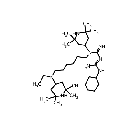 CCN(CCCCCCN(C(=N)/N=C(\N)NC1CCCCC1)C1CC(C)(C)NC(C)(C)C1)C1CC(C)(C)NC(C)(C)C1